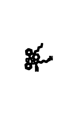 CCCCCC1(c2ccccc2C(=O)Oc2ccccc2OC(C#N)CCCCC#N)CCCCC1